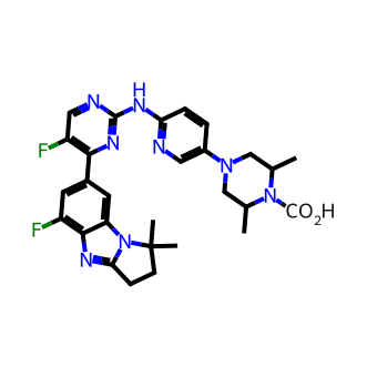 CC1CN(c2ccc(Nc3ncc(F)c(-c4cc(F)c5nc6n(c5c4)C(C)(C)CC6)n3)nc2)CC(C)N1C(=O)O